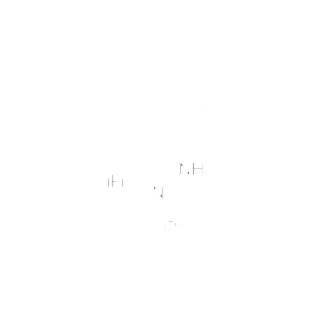 CC(C)N(NC1CCCC1)C(C)C